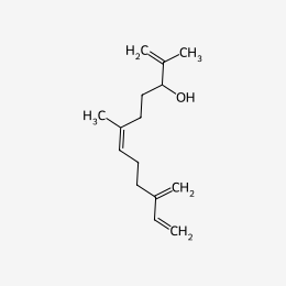 C=CC(=C)CCC=C(C)CCC(O)C(=C)C